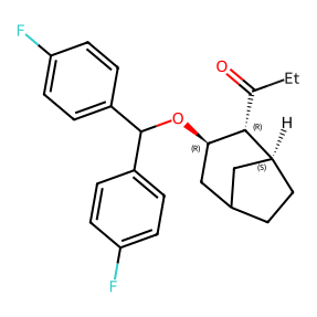 CCC(=O)[C@@H]1[C@H]2CCC(C2)C[C@H]1OC(c1ccc(F)cc1)c1ccc(F)cc1